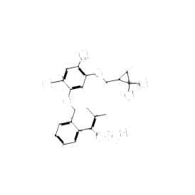 CC(C)=C(C(=O)O)c1ccccc1COc1cc(OCC2CC2(Cl)Cl)c(Cl)cc1Cl